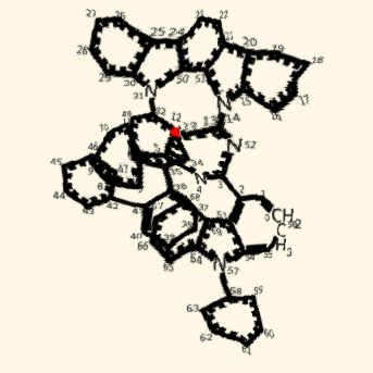 C=C/C(c1nc(-c2ccccc2)nc(-n2c3ccccc3c3ccc4c5ccccc5n(-c5ccc(C6=CCCC=C6c6ccccc6)cc5)c4c32)n1)=c1\c(=C/C)n(-c2ccccc2)c2ccccc12